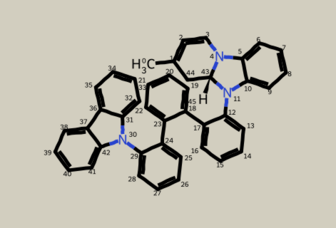 CC1=C=CN2c3ccccc3N(c3ccccc3-c3ccccc3-c3ccccc3-n3c4ccccc4c4ccccc43)[C@@H]2C1